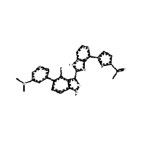 CC(=O)c1ccc(-c2nccc3[nH]c(-c4n[nH]c5ccc(-c6cncc(N(C)C)c6)c(F)c45)nc23)s1